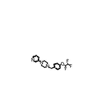 FC(F)C(F)Oc1ccc(CN2CCN(c3cccnc3)CC2)cc1